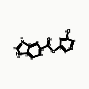 O=C(Oc1cncc(Cl)c1)c1ccc2[nH]cnc2c1